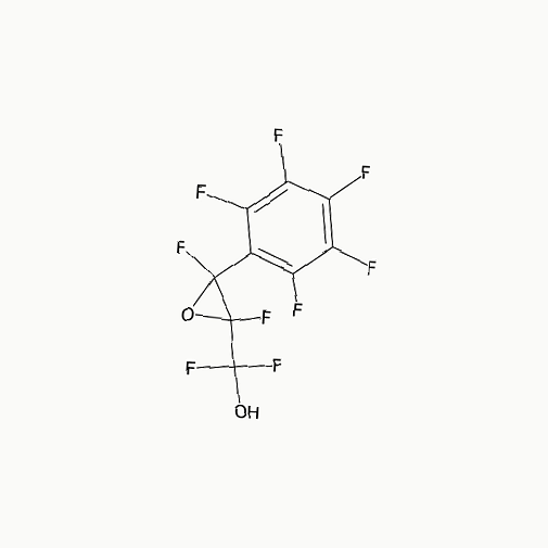 OC(F)(F)C1(F)OC1(F)c1c(F)c(F)c(F)c(F)c1F